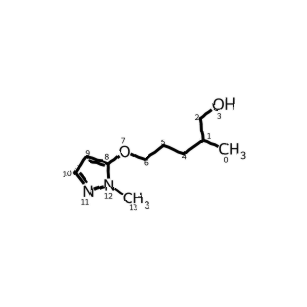 CC(CO)CCCOc1ccnn1C